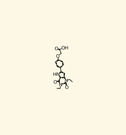 CCn1c(=O)c2[nH]c(-c3ccc(OCC(=O)O)cc3)cc2n(CC)c1=O